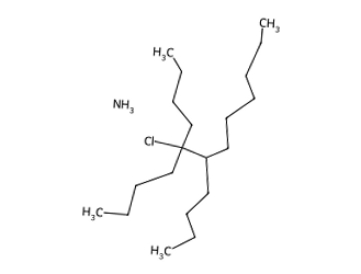 CCCCCCC(CCCC)C(Cl)(CCCC)CCCC.N